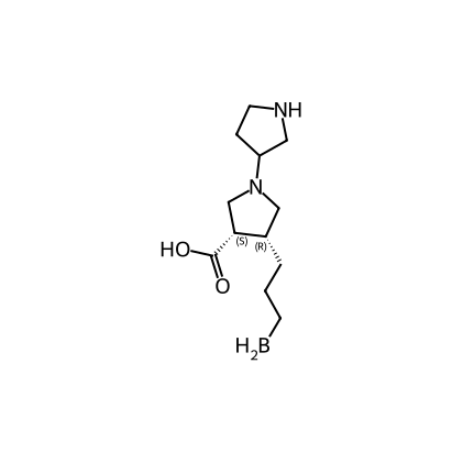 BCCC[C@H]1CN(C2CCNC2)C[C@H]1C(=O)O